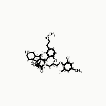 COCCc1ccc(Cl)c(CN(C(=O)C2CNCC[C@]2(O)c2ccn(CCCOc3c(Cl)cc(C)cc3Cl)c(=O)c2)C2CC2)c1